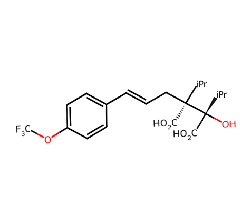 CC(C)[C@@](O)(C(=O)O)[C@](C/C=C/c1ccc(OC(F)(F)F)cc1)(C(=O)O)C(C)C